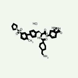 Cc1ccc(S(=O)(=O)N2CCCC2)cc1-c1ccc(C[C@H](NC(=O)C2CCC(CN)CC2)C(=O)Nc2ccc3c(=O)[nH][nH]c3c2)cc1.Cl